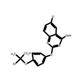 CCC(C)(Oc1ccc(Oc2nc(OC)c3cc(Cl)ccc3n2)cc1)C(=O)O